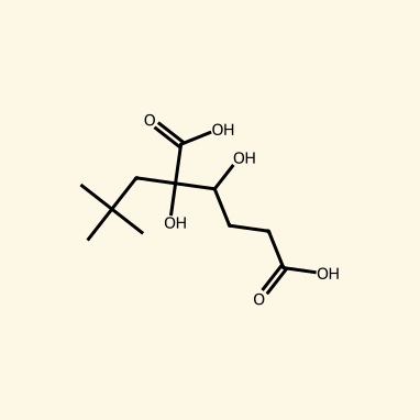 CC(C)(C)CC(O)(C(=O)O)C(O)CCC(=O)O